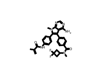 C=C(C)C(=O)Nc1ccc(-c2c(-c3ccc(C(=O)N(C)C4CC(F)(F)C4)cc3)c3c(N)ncnc3n2C)cc1